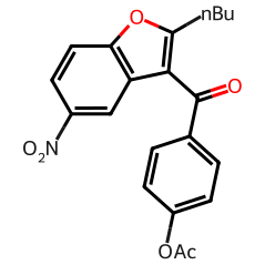 CCCCc1oc2ccc([N+](=O)[O-])cc2c1C(=O)c1ccc(OC(C)=O)cc1